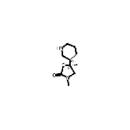 CN1C[C@](C)([C@H]2CCCNC2)OC1=O